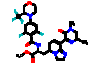 COC(=O)[C@H](Cc1ccc(-c2nc(C)cn(C)c2=O)c2nccn12)NC(=O)c1c(F)cc(N2CCOC[C@@H]2C(F)(F)F)cc1F